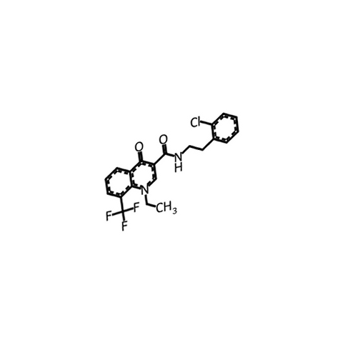 CCn1cc(C(=O)NCCc2ccccc2Cl)c(=O)c2cccc(C(F)(F)F)c21